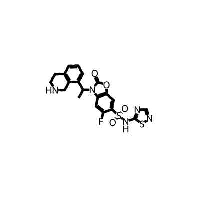 CC(c1cccc2c1CNCC2)n1c(=O)oc2cc(S(=O)(=O)Nc3ncns3)c(F)cc21